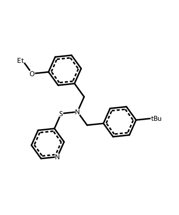 CCOc1cccc(CN(Cc2ccc(C(C)(C)C)cc2)Sc2cccnc2)c1